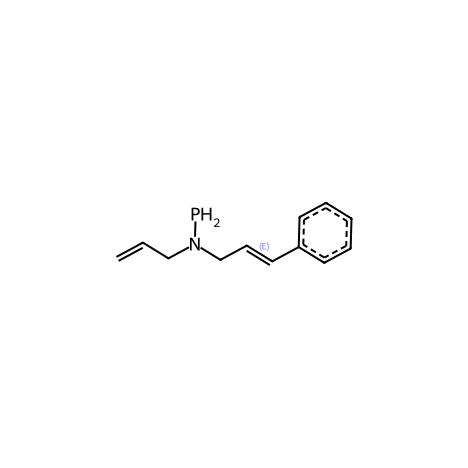 C=CCN(P)C/C=C/c1ccccc1